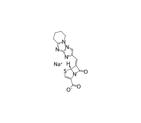 O=C([O-])C1=CS[C@@H]2/C(=C\c3cn4c(n3)nc3n4CCCC3)C(=O)N12.[Na+]